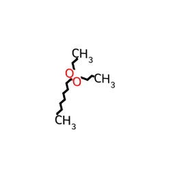 CCCCCCCCC(OCCCC)OCCCC